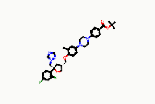 Cc1cc(N2CCN(c3ccc(C(=O)OC(C)(C)C)cc3)CC2)ccc1OC[C@@H]1CO[C@@](Cn2cncn2)(c2ccc(F)cc2F)C1